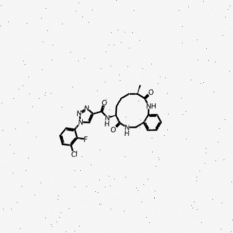 C[C@@H]1CCC[C@H](NC(=O)c2cn(-c3cccc(Cl)c3F)nn2)C(=O)NCc2ccccc2NC1=O